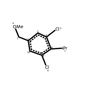 COCc1cc(Cl)c(C(C)C)c(Cl)c1